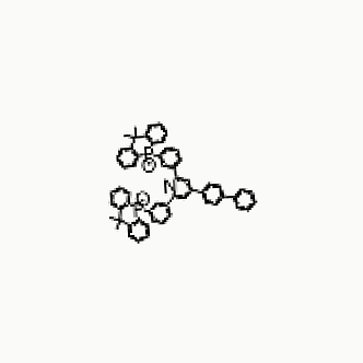 CC1(C)c2ccccc2P(=O)(c2cccc(-c3cc(-c4ccc(-c5ccccc5)cc4)cc(-c4cccc(P5(=O)c6ccccc6C(C)(C)c6ccccc65)c4)n3)c2)c2ccccc21